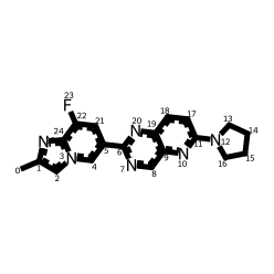 Cc1cn2cc(-c3ncc4nc(N5CCCC5)ccc4n3)cc(F)c2n1